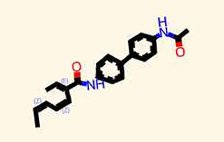 C\C=C/C=C\C(=C/C)C(=O)Nc1ccc(-c2ccc(NC(C)=O)cc2)cc1